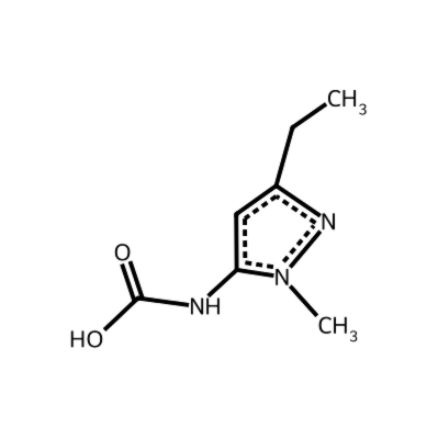 CCc1cc(NC(=O)O)n(C)n1